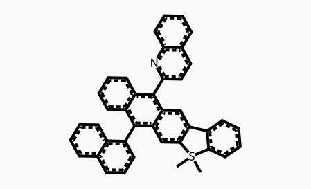 CS1(C)c2ccccc2-c2cc3c(-c4ccc5ccccc5n4)c4ccccc4c(-c4cccc5ccccc45)c3cc21